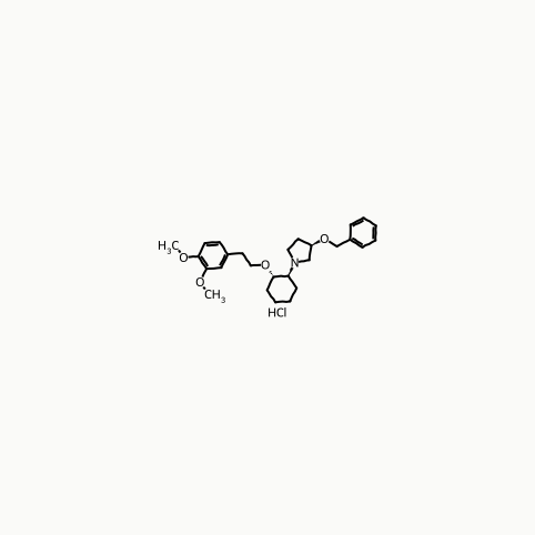 COc1ccc(CCO[C@H]2CCCC[C@@H]2N2CC[C@@H](OCc3ccccc3)C2)cc1OC.Cl